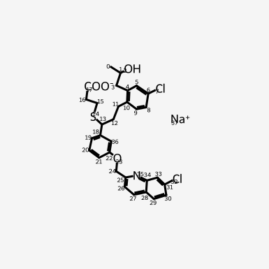 CC(O)Cc1cc(Cl)ccc1CCC(SCCC(=O)[O-])c1cccc(OCc2ccc3ccc(Cl)cc3n2)c1.[Na+]